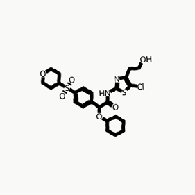 O=C(Nc1nc(CCO)c(Cl)s1)C(OC1CCCCC1)c1ccc(S(=O)(=O)C2CCOCC2)cc1